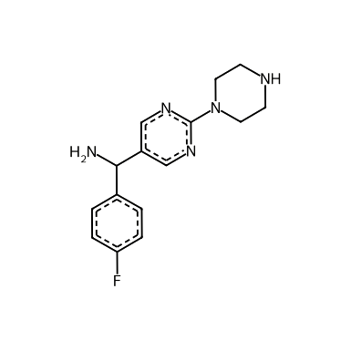 NC(c1ccc(F)cc1)c1cnc(N2CCNCC2)nc1